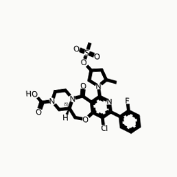 CC1CC(OS(C)(=O)=O)CN1c1nc(-c2ccccc2F)c(Cl)c2c1C(=O)N1CCN(C(=O)O)C[C@H]1CO2